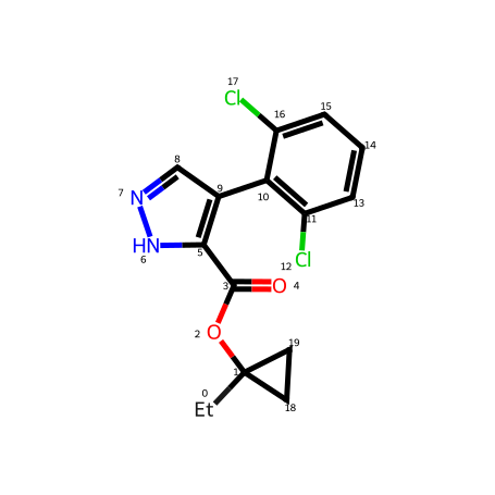 CCC1(OC(=O)c2[nH]ncc2-c2c(Cl)cccc2Cl)CC1